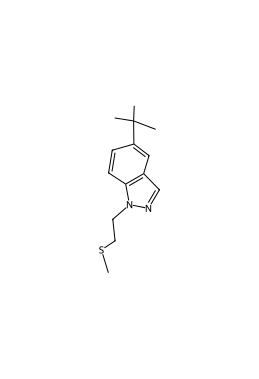 CSCCn1ncc2cc(C(C)(C)C)ccc21